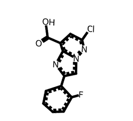 O=C(O)c1cc(Cl)nn2cc(-c3ccccc3F)nc12